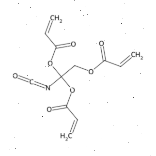 C=CC(=O)OCC(N=C=O)(OC(=O)C=C)OC(=O)C=C